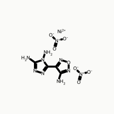 Nc1nonc1-c1nnc(N)n1N.O=[N+]([O-])[O-].O=[N+]([O-])[O-].[Ni+2]